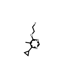 Cc1c(OCCF)ncnc1C1CC1